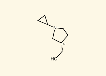 OC[C@H]1CCN(C2CC2)C1